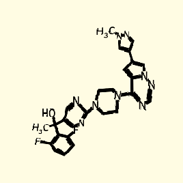 Cn1cc(-c2cc3c(N4CCN(c5ncc(C(C)(O)c6c(F)cccc6F)cn5)CC4)ncnn3c2)cn1